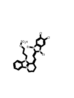 CCN1C(=C/C=C2/CCC[n+]3c2n(CCCOS(=O)(=O)O)c2ccccc23)N(CC)c2cc(Cl)c(Cl)cc21